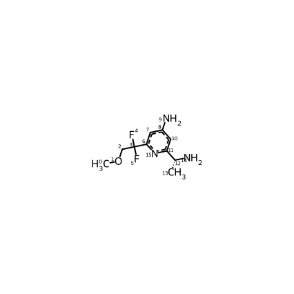 COCC(F)(F)c1cc(N)cc([C@@H](C)N)n1